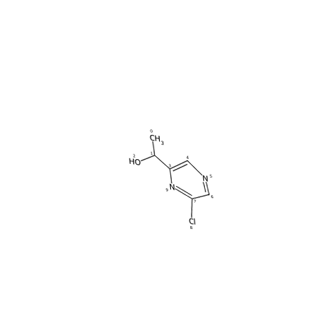 CC(O)c1cncc(Cl)n1